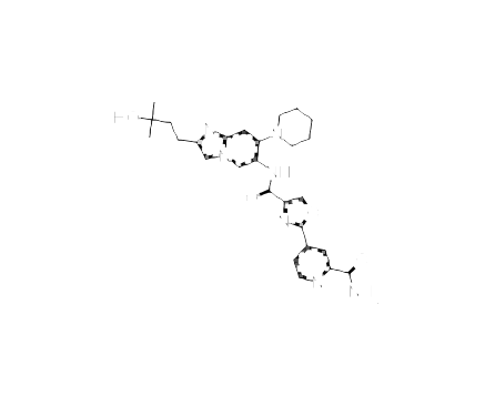 CC(C)(O)CCc1cn2cc(NC(=O)c3coc(-c4ccnc(C(N)=O)c4)n3)c(N3CCCCC3)cc2n1